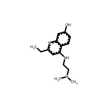 CCc1cc(NCCN(C)C)c2ccc(O)cc2n1